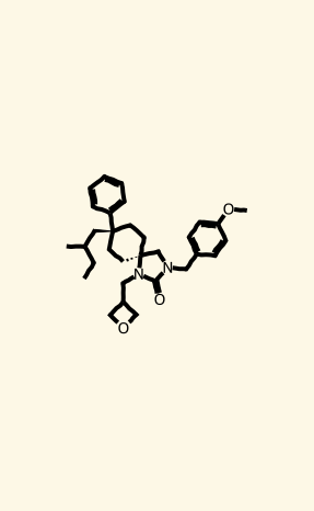 CCC(C)C[C@]1(c2ccccc2)CC[C@]2(CC1)CN(Cc1ccc(OC)cc1)C(=O)N2CC1COC1